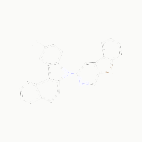 Bc1ccc2c(c1)c1c3ccccc3ccc1n2-c1cc2c(cn1)sc1ccccc12